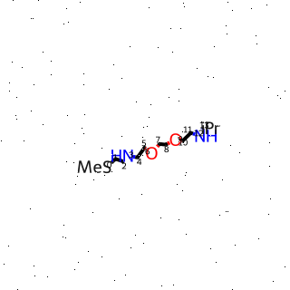 CSCCNCCOCCOCCNC(C)C